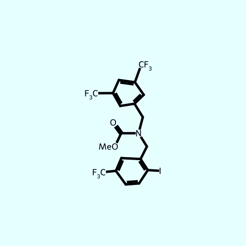 COC(=O)N(Cc1cc(C(F)(F)F)cc(C(F)(F)F)c1)Cc1cc(C(F)(F)F)ccc1I